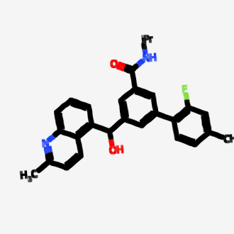 Cc1ccc(-c2cc(C(=O)NC(C)C)cc(C(O)c3cccc4nc(C)ccc34)c2)c(F)c1